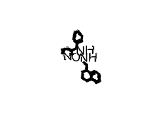 O=C(NCCC1CCCc2ccccc21)NC(c1ccccc1)c1cccnc1